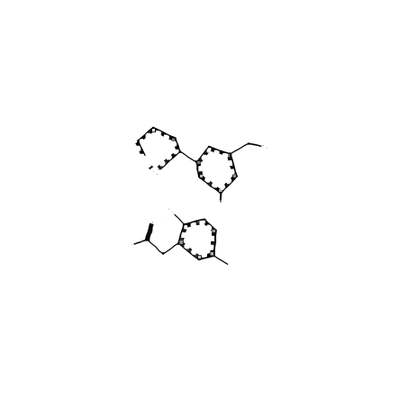 NCc1cc(F)cc(-c2ccccn2)c1.Nc1ccc(Cl)cc1CC(=O)O